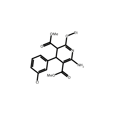 CCOC1=NC(N)=C(C(=O)OC)C(c2cccc(Cl)c2)C1C(=O)OC